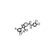 NC(=O)c1c(-c2cc(F)cc(Cl)c2)nn2c1CN(C(=O)Nc1ccc(Cl)c(Cl)c1)CC2